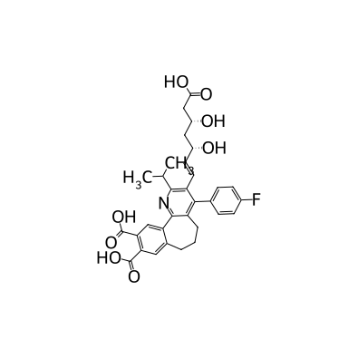 CC(C)c1nc2c(c(-c3ccc(F)cc3)c1/C=C/[C@@H](O)C[C@@H](O)CC(=O)O)CCCc1cc(C(=O)O)c(C(=O)O)cc1-2